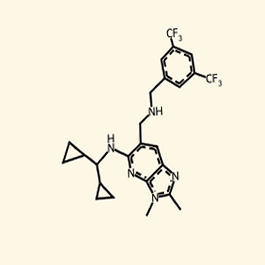 Cc1nc2cc(CNCc3cc(C(F)(F)F)cc(C(F)(F)F)c3)c(NC(C3CC3)C3CC3)nc2n1C